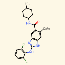 COc1cc2[nH]c(Nc3c(Cl)cccc3Cl)nc2cc1C(=O)NC1CCC(C(F)(F)F)CC1